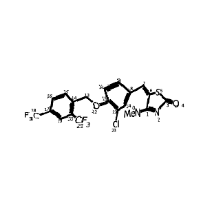 CNC1=NC(=O)SC1=Cc1ccc(OCc2ccc(C(F)(F)F)cc2C(F)(F)F)c(Cl)c1